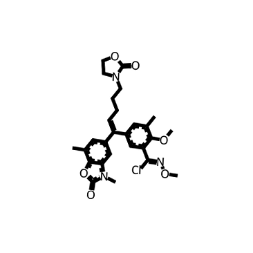 CO/N=C(\Cl)c1cc(/C(=C\CCCN2CCOC2=O)c2cc(C)c3oc(=O)n(C)c3c2)cc(C)c1OC